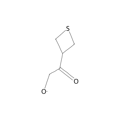 [O]CC(=O)C1CSC1